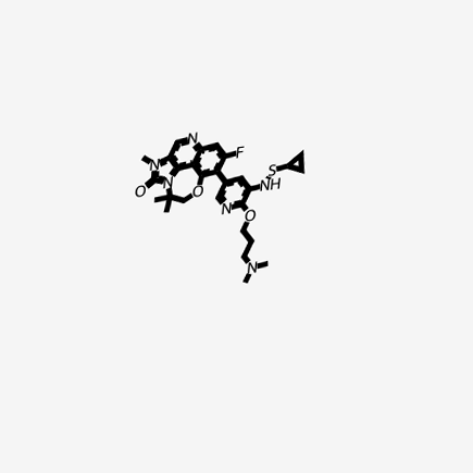 CN(C)CCCOc1ncc(-c2c(F)cc3ncc4c5c3c2OCC(C)(C)n5c(=O)n4C)cc1NSC1CC1